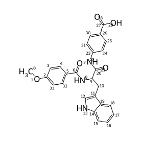 COc1ccc(C(=O)NC(Cc2c[nH]c3ccccc23)C(=O)Nc2ccc(C(=O)O)cc2)cc1